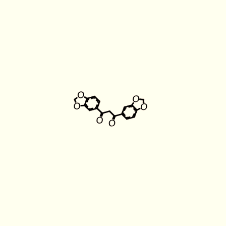 O=C(CC(=O)c1ccc2c(c1)OCO2)c1ccc2c(c1)OCO2